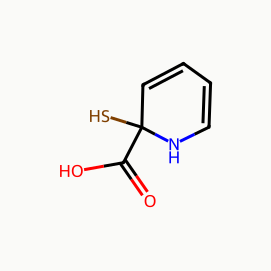 O=C(O)C1(S)C=CC=CN1